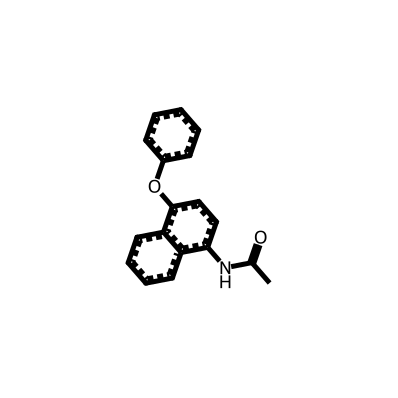 CC(=O)Nc1ccc(Oc2ccccc2)c2ccccc12